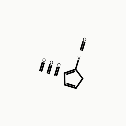 [C]=O.[C]=O.[C]=O.[C]=O.[V][C]1=CC=CC1